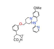 COc1ccc(CNc2ccccn2)c(N2CCC(COc3cccc(C(CC(=O)O)C4CC4)c3)CC2)c1